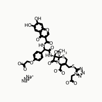 CO[C@@]1(NC(=O)C(NC(=O)c2coc3cc(O)c(O)cc3c2=O)c2ccc(OCC(=O)[O-])cc2)C(=O)N2C(C(=O)[O-])=C(CSc3nnnn3CC(=O)[O-])CS[C@H]21.[Na+].[Na+].[Na+]